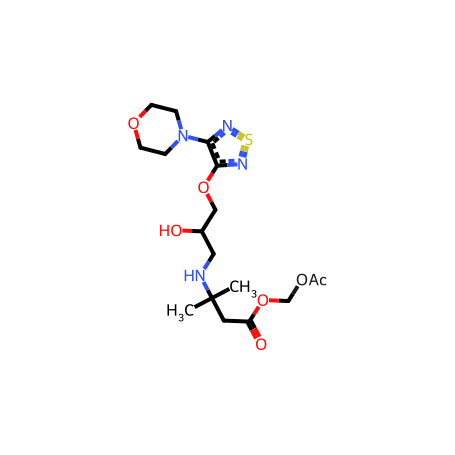 CC(=O)OCOC(=O)CC(C)(C)NCC(O)COc1nsnc1N1CCOCC1